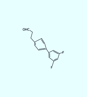 O=CCCc1ccc(-c2cc(F)cc(F)c2)cc1